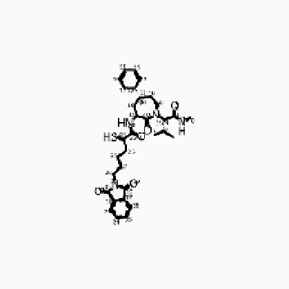 CNC(=O)[C@H](C(C)C)N1CC[C@@H](C2C=CC=CC2)CC(NC(=O)C(S)CCCCN2C(=O)c3ccccc3C2=O)C1=O